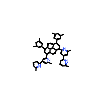 Cc1cc(C)cc(-c2cc(-c3cc(-c4cccc(C)n4)cc(C)n3)c3ccc4c(-c5cc(-c6cccc(C)n6)cc(C)n5)cc(-c5cc(C)cc(C)c5)c5ccc2c3c54)c1